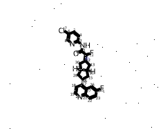 O=C(Nc1ccc(Cl)cn1)/C(F)=C1/C[C@@H]2C[C@H](c3ccnc4ccc(F)cc34)C[C@@H]2C1